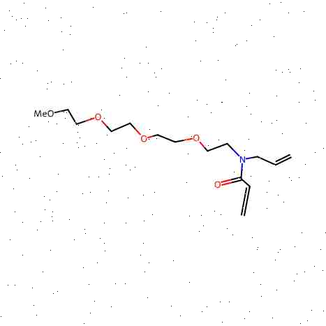 C=CCN(CCOCCOCCOCCOC)C(=O)C=C